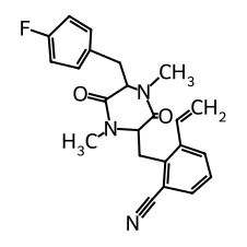 C=Cc1cccc(C#N)c1CC1C(=O)N(C)C(Cc2ccc(F)cc2)C(=O)N1C